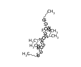 CCCCCCc1ccc(-c2ccc(-c3cc(F)c(-c4cc5c(s4)c4cc6c(cc4n5CC(CC)CCCC)c4sc(-c5c(F)cc(-c7ccc(-c8ccc(CCCCCC)s8)s7)c7nsnc57)cc4n6CC(CC)CCCC)c4nsnc34)s2)s1